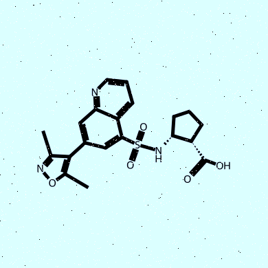 Cc1noc(C)c1-c1cc(S(=O)(=O)N[C@@H]2CCC[C@@H]2C(=O)O)c2cccnc2c1